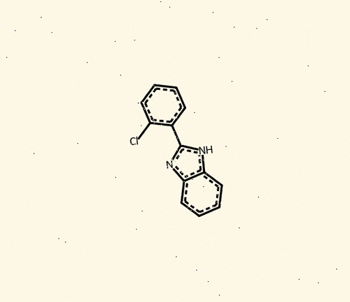 Clc1[c]cccc1-c1nc2ccccc2[nH]1